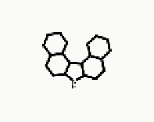 C1CCC2C(C1)CCC1NC3CCC4CCCCC4C3C12